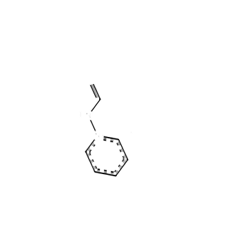 O=CN[n+]1ccccc1.[Cl-]